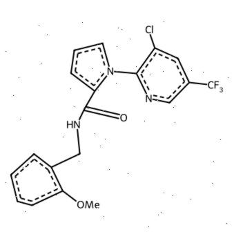 COc1ccccc1CNC(=O)c1cccn1-c1ncc(C(F)(F)F)cc1Cl